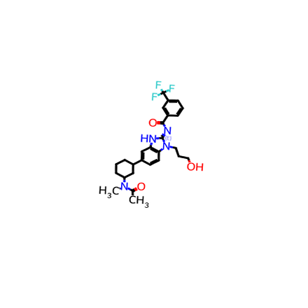 CC(=O)N(C)C1CCCC(c2ccc3c(c2)[nH]/c(=N\C(=O)c2cccc(C(F)(F)F)c2)n3CCCO)C1